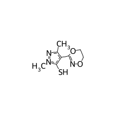 Cc1nn(C)c(S)c1C1=NOCCO1